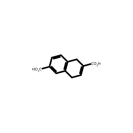 O=C(O)C1=CCc2cc(C(=O)O)ccc2C1